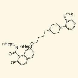 CCCCCCCN(CCCCCCC)C(=O)n1c(=O)ccc2ccc(OCCCCN3CCN(c4cccc5sccc45)CC3)cc21